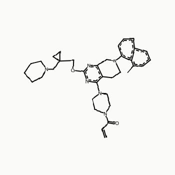 C=CC(=O)N1CCN(c2nc(OCC3(CN4CCCCC4)CC3)nc3c2CCN(c2cccc4cccc(C)c24)C3)CC1